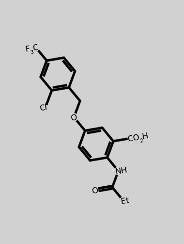 CCC(=O)Nc1ccc(OCc2ccc(C(F)(F)F)cc2Cl)cc1C(=O)O